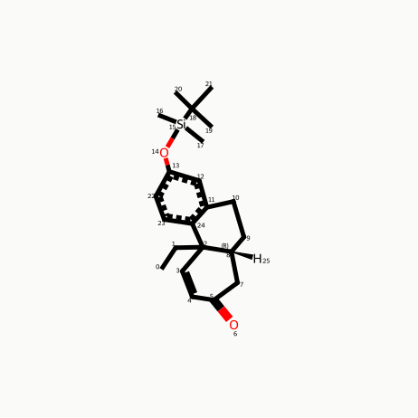 CCC12C=CC(=O)C[C@H]1CCc1cc(O[Si](C)(C)C(C)(C)C)ccc12